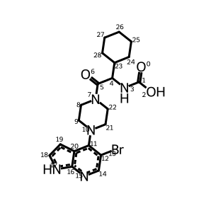 O=C(O)NC(C(=O)N1CCN(c2c(Br)cnc3[nH]ccc23)CC1)C1CCCCC1